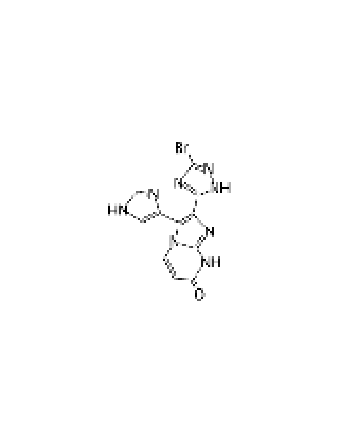 O=c1ccn2c(-c3c[nH]cn3)c(-c3nc(Br)n[nH]3)nc2[nH]1